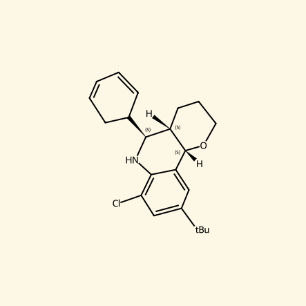 CC(C)(C)c1cc(Cl)c2c(c1)[C@H]1OCCC[C@H]1[C@H](C1C=CC=CC1)N2